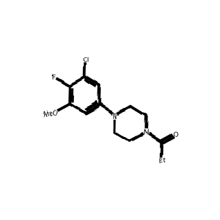 CCC(=O)N1CCN(c2cc(Cl)c(F)c(OC)c2)CC1